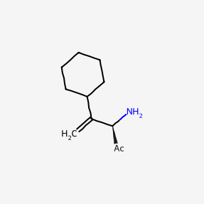 C=C(C1CCCCC1)[C@@H](N)C(C)=O